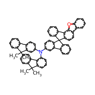 CC1(C)c2ccccc2-c2ccc(N(c3ccc4c(c3)-c3ccccc3C43c4ccccc4-c4c3ccc3c4oc4ccccc43)c3cccc4c3-c3ccccc3C4(C)C)cc21